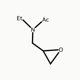 CCN(CC1CO1)C(C)=O